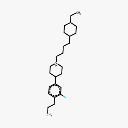 CCCc1ccc(C2CC[SiH](CCCCC3CCC(CC)CC3)CC2)cc1F